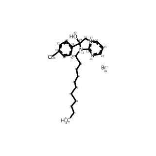 CCCCCCCCCCCN1c2nccc[n+]2CC1(O)c1ccc(Cl)cc1.[Br-]